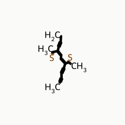 C=CC#CC(=CC=C(C#CC#CC)C(C)=S)C(C)=S